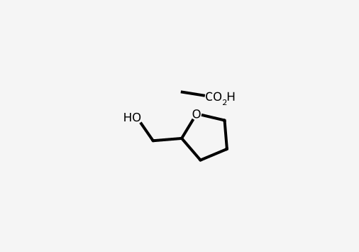 CC(=O)O.OCC1CCCO1